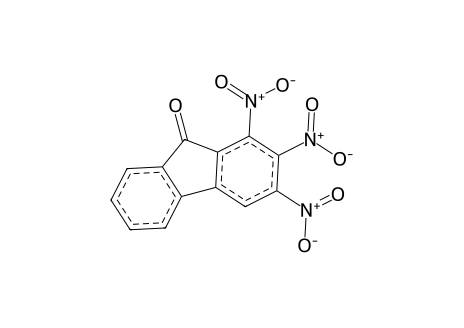 O=C1c2ccccc2-c2cc([N+](=O)[O-])c([N+](=O)[O-])c([N+](=O)[O-])c21